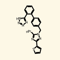 CCCc1nc(-c2cccs2)nn1Cc1ccc(-c2ccccc2-c2nnn[nH]2)cc1